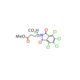 COC(=O)CC[C@@H](C(=O)O)N1C(=O)c2c(Cl)c(Cl)c(Cl)c(Cl)c2C1=O